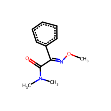 CO/N=C(/C(=O)N(C)C)c1ccccc1